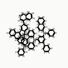 c1ccc(-c2cc(N(c3ccccc3)c3ccc4ccccc4c3)cc(N(c3cccc(N(c4ccccc4)c4ccccc4)c3)c3cccc4c3-c3ccccc3C43c4ccc(-c5cncc6ccccc56)cc4-c4c3ccc3ccccc43)c2)cc1